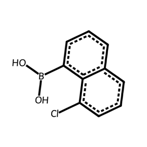 OB(O)c1cccc2cccc(Cl)c12